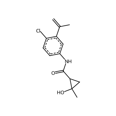 C=C(C)c1cc(NC(=O)C2CC2(C)O)ccc1Cl